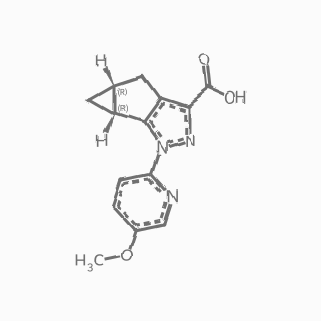 COc1ccc(-n2nc(C(=O)O)c3c2[C@@H]2C[C@@H]2C3)nc1